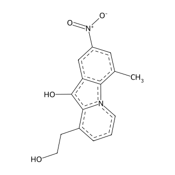 Cc1cc([N+](=O)[O-])cc2c(O)c3c(CCO)cccn3c12